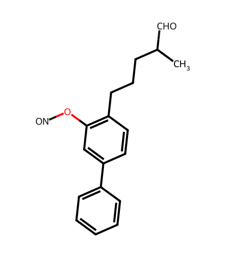 CC(C=O)CCCc1ccc(-c2ccccc2)cc1ON=O